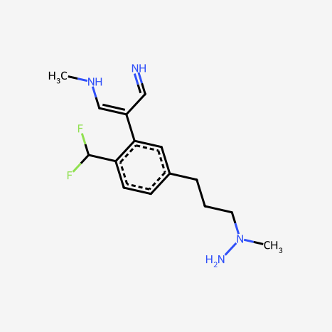 CN/C=C(\C=N)c1cc(CCCN(C)N)ccc1C(F)F